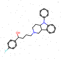 OC(CCCN1CCC2C(C1)c1ccccc1N2c1ccccc1)c1ccc(F)cc1